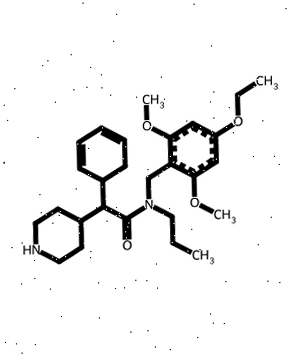 CCCN(Cc1c(OC)cc(OCC)cc1OC)C(=O)C(C1C=CC=CC1)C1CCNCC1